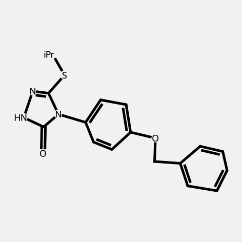 CC(C)Sc1n[nH]c(=O)n1-c1ccc(OCc2ccccc2)cc1